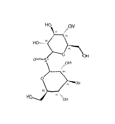 [O-][S+](C1O[C@H](CO)[C@@H](O)[C@H](O)[C@H]1O)C1O[C@H](CO)[C@@H](O)[C@H](O)[C@H]1O